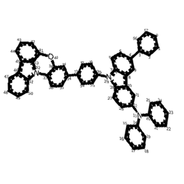 c1ccc(-c2ccc3c(c2)c2cc(N(c4ccccc4)c4ccccc4)ccc2n3-c2ccc(-c3ccc4c(c3)Oc3cccc5c6ccccc6n-4c35)cc2)cc1